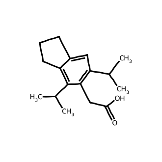 CC(C)c1cc2c(c(C(C)C)c1CC(=O)O)CCC2